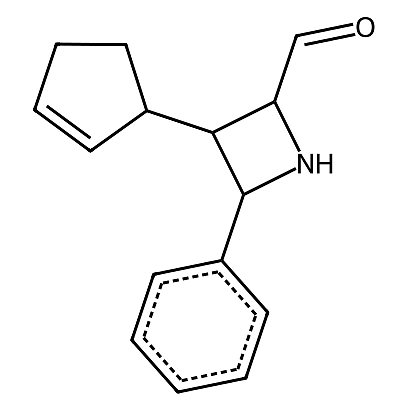 O=CC1NC(c2ccccc2)C1C1C=CCC1